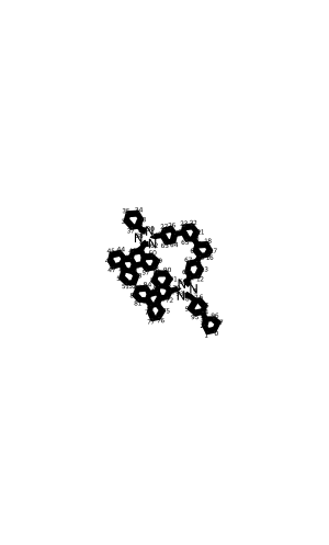 c1ccc(-c2ccc(-c3nc(-c4ccc(-c5cccc(-c6cccc(-c7ccc(-c8nc(-c9ccccc9)nc(-c9cc%10c%11ccccc%11c%11ccccc%11c%10c%10ccccc9%10)n8)cc7)c6)c5)cc4)nc(-c4cc5c6ccccc6c6ccccc6c5c5ccccc45)n3)cc2)cc1